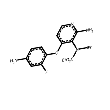 CCOC(=O)N(c1c(Oc2ccc(N)cc2F)ccnc1N)C(C)C